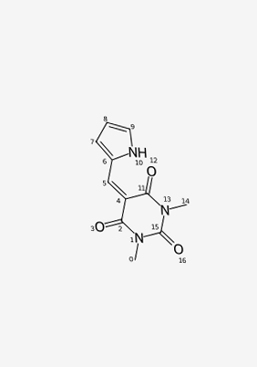 CN1C(=O)C(=Cc2ccc[nH]2)C(=O)N(C)C1=O